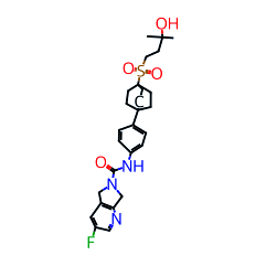 CC(C)(O)CCS(=O)(=O)C12CCC(c3ccc(NC(=O)N4Cc5cc(F)cnc5C4)cc3)(CC1)CC2